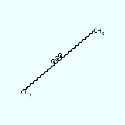 CC/C=C/C/C=C/C/C=C/C/C=C/C/C=C/CCCC(=O)CC(=O)CC(=O)CCC/C=C/C/C=C/C/C=C/C/C=C/C/C=C/CC